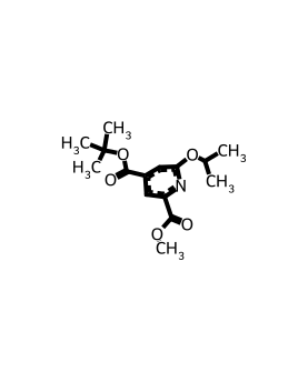 COC(=O)c1cc(C(=O)OC(C)(C)C)cc(OC(C)C)n1